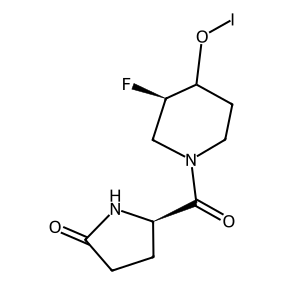 O=C1CC[C@H](C(=O)N2CCC(OI)[C@H](F)C2)N1